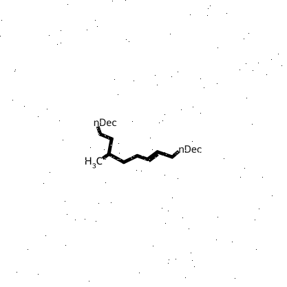 [CH2]CCCCCCCCCCC=CCCC(C)CCCCCCCCCCC[CH2]